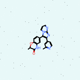 Cc1cc(-c2nc3ncccn3c2-c2ccc3c(c2)NC(=O)C(C)O3)ccn1